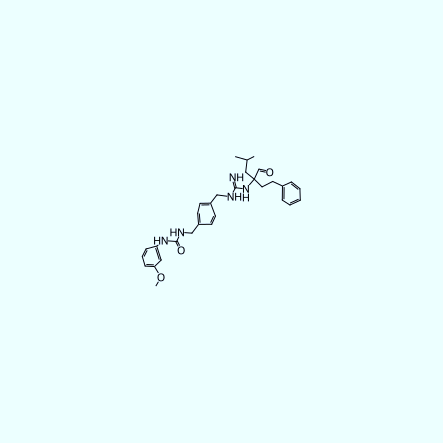 COc1cccc(NC(=O)NCc2ccc(CNC(=N)NC(C=O)(CCc3ccccc3)CC(C)C)cc2)c1